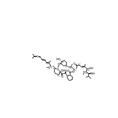 CO[C@@H](C[C@@H]1CC[C@@H](C)[C@](O)(C(=O)C(=O)N2CCCCC2C(=O)O[C@@H](CC(=O)[C@H](C)/C=C(\C)[C@@H](O)[C@@H](OC)C(=N)C(C)C)[C@H](C)C[C@@H]2CC[C@@H](O)[C@H](OC)C2)O1)/C(C)=C/C=C/C=C=C(C)C